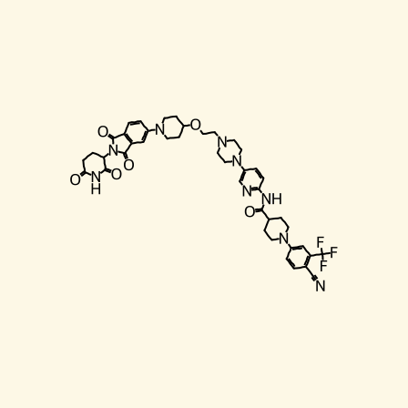 N#Cc1ccc(N2CCC(C(=O)Nc3ccc(N4CCN(CCOC5CCN(c6ccc7c(c6)C(=O)N(C6CCC(=O)NC6=O)C7=O)CC5)CC4)cn3)CC2)cc1C(F)(F)F